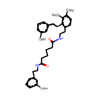 COc1cccc(CCNC(=O)CCCCC(=O)NCCc2ccc(OC)c(OC)c2CCc2cccc(OC)c2)c1